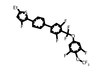 CCc1cc(F)c(-c2ccc(-c3cc(F)c(C(F)(F)Oc4cc(F)c(OC(F)(F)F)c(F)c4)c(F)c3)cc2)s1